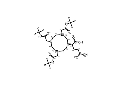 CC(C)(C)OC(=O)CN1CCN(CC(=O)OC(C)(C)C)CCN(C(CCC(=O)O)C(=O)O)CCN(CC(=O)OC(C)(C)C)CC1